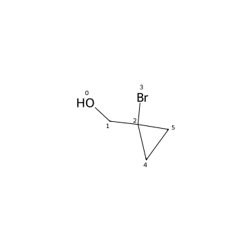 OCC1(Br)CC1